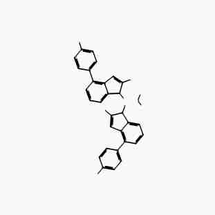 CCCC1=Cc2c(-c3ccc(C(C)(C)C)cc3)cccc2[CH]1[Zr+2](=[C](C)C)[CH]1C(CCC)=Cc2c(-c3ccc(C(C)(C)C)cc3)cccc21.[Cl-].[Cl-]